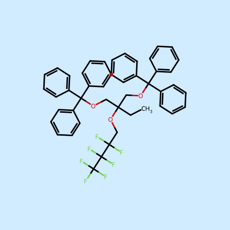 CCC(COC(c1ccccc1)(c1ccccc1)c1ccccc1)(COC(c1ccccc1)(c1ccccc1)c1ccccc1)OCC(F)(F)C(F)(F)C(F)(F)F